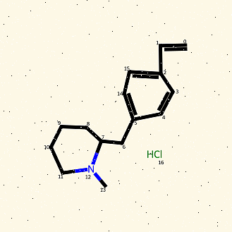 C=Cc1ccc(CC2CCCCN2C)cc1.Cl